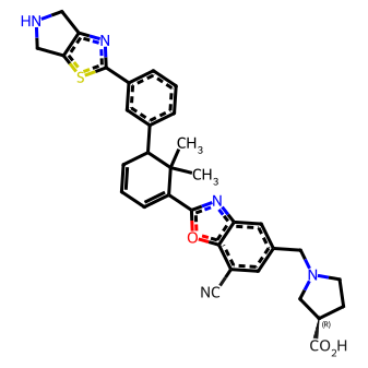 CC1(C)C(c2nc3cc(CN4CC[C@@H](C(=O)O)C4)cc(C#N)c3o2)=CC=CC1c1cccc(-c2nc3c(s2)CNC3)c1